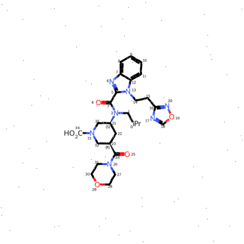 CC(C)CN(C(=O)c1nc2ccccc2n1CCc1ncon1)[C@H]1C[C@@H](C(=O)N2CCOCC2)CN(C(=O)O)C1